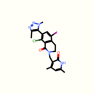 Cc1cc(C)c(CN2CCc3c(I)cc(-c4c(C)nnn4C)c(Cl)c3C2=O)c(=O)[nH]1